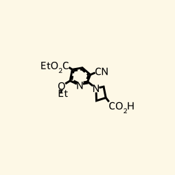 CCOC(=O)c1cc(C#N)c(N2CC(C(=O)O)C2)nc1OCC